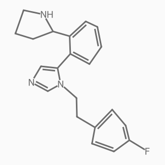 Fc1ccc(CCn2cncc2-c2ccccc2C2CCCN2)cc1